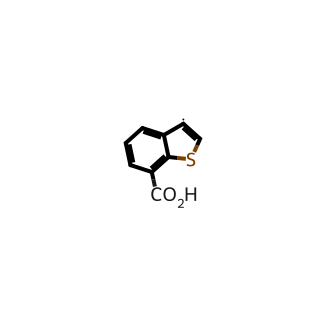 O=C(O)c1cccc2[c]csc12